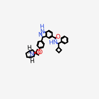 O=C(NC(c1ccccc1)C1CCC1)c1ccc2[nH]nc(-c3ccc(O[C@H]4C[C@H]5CC[C@@H](C4)N5C4COC4)cc3)c2c1